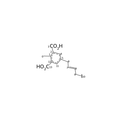 Cc1c(C(=O)O)cc(C/C=C/CI)cc1C(=O)O